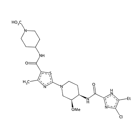 CCc1[nH]c(C(=O)N[C@@H]2CCN(c3nc(C)c(C(=O)NC4CCN(C(=O)O)CC4)s3)C[C@@H]2OC)nc1Cl